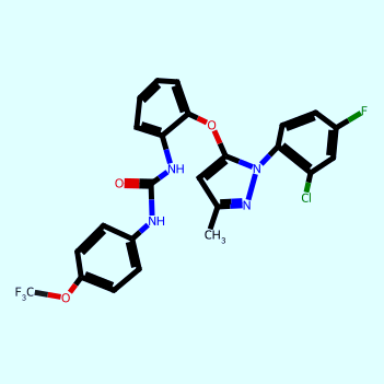 Cc1cc(Oc2ccccc2NC(=O)Nc2ccc(OC(F)(F)F)cc2)n(-c2ccc(F)cc2Cl)n1